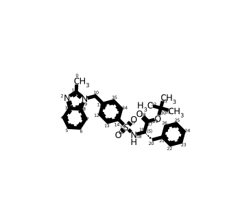 Cc1nc2ccccc2n1Cc1ccc(S(=O)(=O)N[C@@H](Cc2ccccc2)C(=O)OC(C)(C)C)cc1